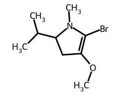 COC1=C(Br)N(C)C(C(C)C)C1